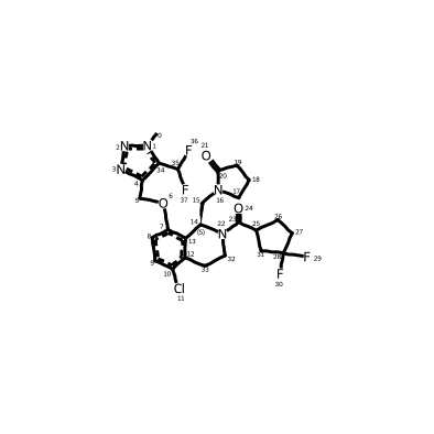 Cn1nnc(COc2ccc(Cl)c3c2[C@@H](CN2CCCC2=O)N(C(=O)C2CCC(F)(F)C2)CC3)c1C(F)F